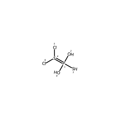 OP(O)(S)=S(Cl)Cl